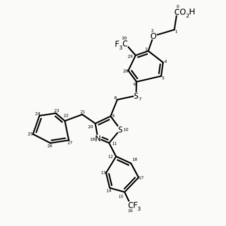 O=C(O)COc1ccc(SCc2sc(-c3ccc(C(F)(F)F)cc3)nc2Cc2ccccc2)cc1C(F)(F)F